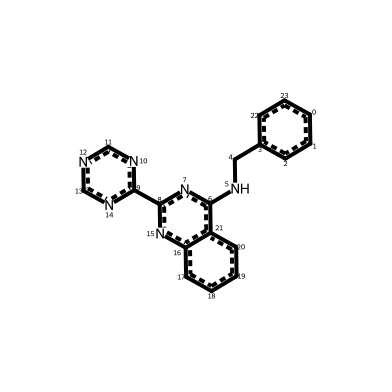 c1ccc(CNc2nc(-c3ncncn3)nc3ccccc23)cc1